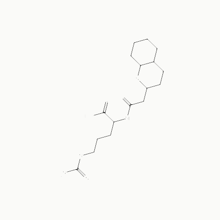 N=C(N)NCCCC(NC(=O)CC1CCC2CCCCC2N1)C(=O)O